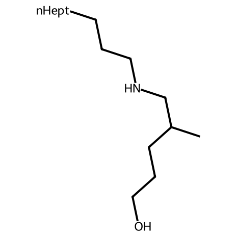 CCCCCCCCCCNCC(C)CCCO